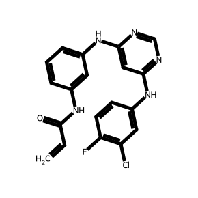 C=CC(=O)Nc1cccc(Nc2cc(Nc3ccc(F)c(Cl)c3)ncn2)c1